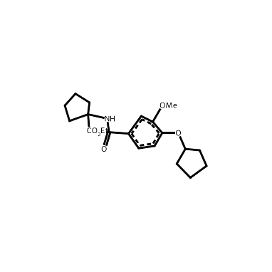 CCOC(=O)C1(NC(=O)c2ccc(OC3CCCC3)c(OC)c2)CCCC1